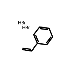 Br.Br.C=Cc1ccccc1